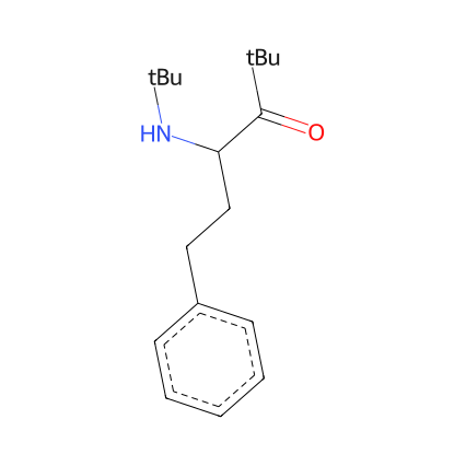 CC(C)(C)NC(CCc1ccccc1)C(=O)C(C)(C)C